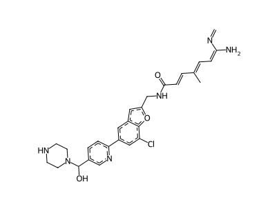 C=N\C(N)=C/C=C(C)/C=C/C(=O)NCc1cc2cc(-c3ccc(C(O)N4CCNCC4)cn3)cc(Cl)c2o1